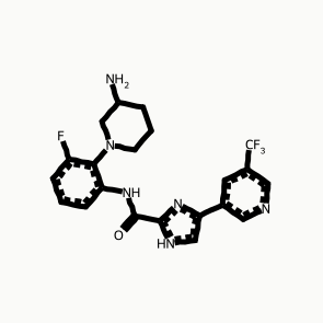 NC1CCCN(c2c(F)cccc2NC(=O)c2nc(-c3cncc(C(F)(F)F)c3)c[nH]2)C1